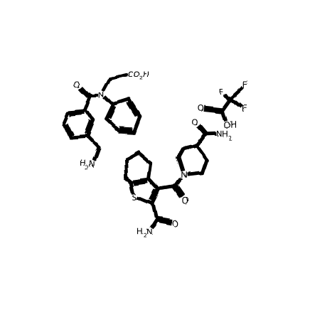 NC(=O)c1sc2c(c1C(=O)N1CCC(C(N)=O)CC1)CCCC2.NCc1cccc(C(=O)N(CC(=O)O)c2ccccc2)c1.O=C(O)C(F)(F)F